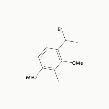 COc1ccc(C(C)Br)c(OC)c1C